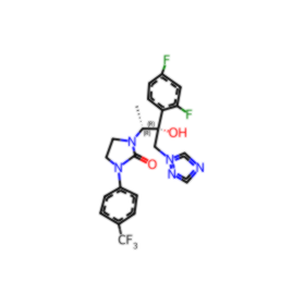 C[C@@H](N1CCN(c2ccc(C(F)(F)F)cc2)C1=O)[C@](O)(Cn1cncn1)c1ccc(F)cc1F